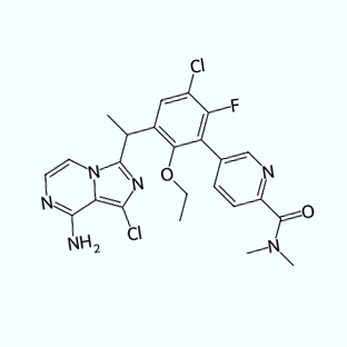 CCOc1c(C(C)c2nc(Cl)c3c(N)nccn23)cc(Cl)c(F)c1-c1ccc(C(=O)N(C)C)nc1